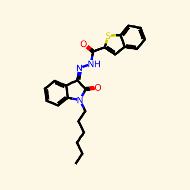 CCCCCCN1C(=O)C(=NNC(=O)c2cc3ccccc3s2)c2ccccc21